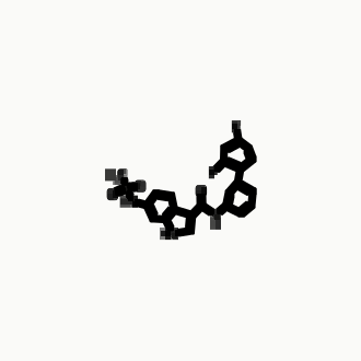 CS(=O)(=O)Nc1ccc2c(C(=O)Nc3cccc(-c4ccc(F)cc4F)c3)c[nH]c2c1